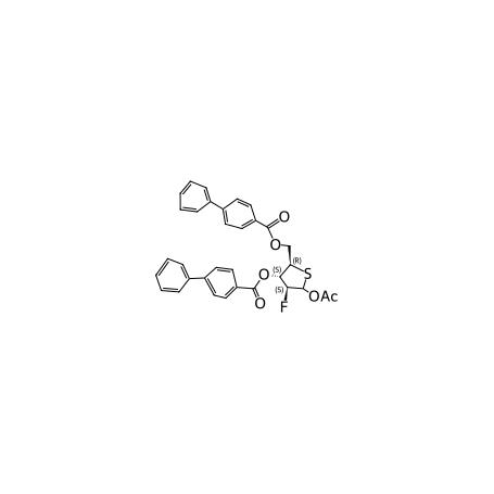 CC(=O)OC1S[C@H](COC(=O)c2ccc(-c3ccccc3)cc2)[C@@H](OC(=O)c2ccc(-c3ccccc3)cc2)[C@@H]1F